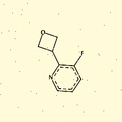 Fc1[c]ccnc1C1COC1